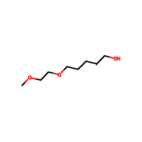 COCCOCCC[CH]CO